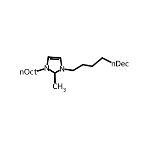 CCCCCCCCCCCCCCN1C=CN(CCCCCCCC)C1C